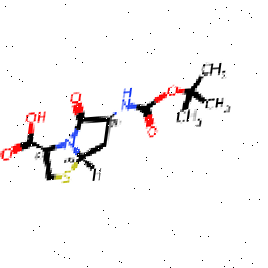 CC(C)(C)OC(=O)N[C@@H]1C[C@@H]2SC[C@@H](C(=O)O)N2C1=O